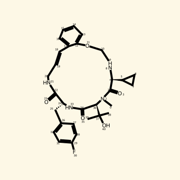 CN1C(=O)[C@H](C2CC2)NCCOc2ccccc2/C=C/CNC(=O)[C@@H](Cc2ccc(F)cc2)NC(=O)[C@@H]1C(C)(C)O